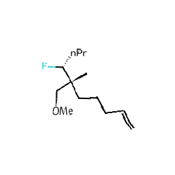 C=CCCC[C@](C)(COC)[C@H](F)CCC